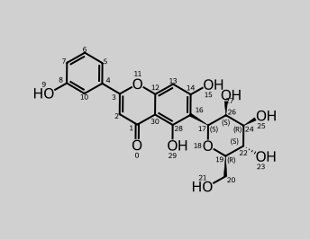 O=c1cc(-c2cccc(O)c2)oc2cc(O)c([C@@H]3O[C@H](CO)[C@@H](O)[C@H](O)[C@@H]3O)c(O)c12